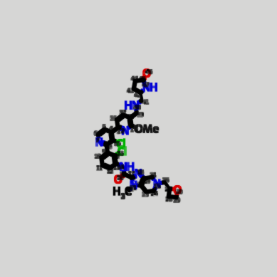 COc1nc(-c2ccnc(-c3cccc(NC(=O)c4nc5c(n4C)CCN(C[C@@H]4CCO4)C5)c3Cl)c2Cl)ccc1CNC[C@H]1CCC(=O)N1